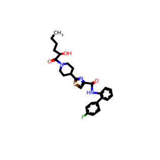 CCCCC(O)C(=O)N1CCC(c2nc(C(=O)Nc3ccccc3-c3ccc(F)cc3)cs2)CC1